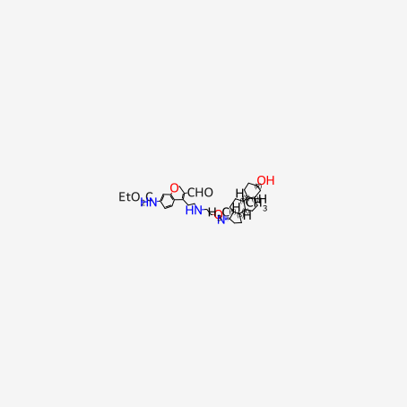 CCOC(=O)Nc1ccc2c(c1)OCC(C=O)=C2CCNCCO/N=C1/CC[C@H]2[C@@H]3CC[C@H]4C[C@H](O)CC[C@]4(C)[C@H]3CC[C@]12C